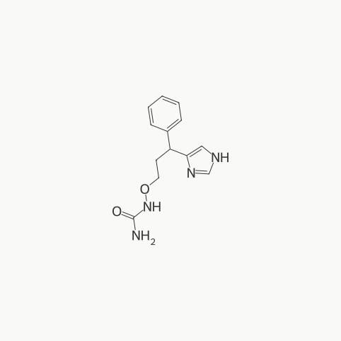 NC(=O)NOCCC(c1ccccc1)c1c[nH]cn1